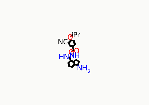 CC(C)Oc1ccc(C(=O)ONC(=N)c2cccc3c2CCC3N)cc1C#N